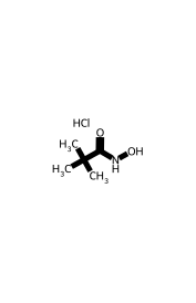 CC(C)(C)C(=O)NO.Cl